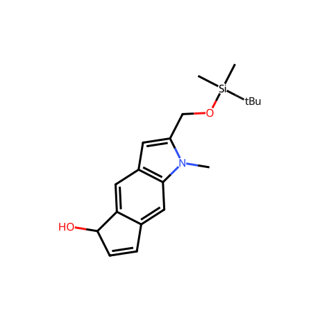 Cn1c(CO[Si](C)(C)C(C)(C)C)cc2cc3c(cc21)C=CC3O